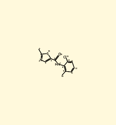 Cc1ncc(C(=O)Nc2c(C)cccc2Cl)s1